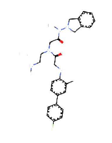 Cc1cc(-c2ccc(F)cc2)ccc1NCC(=O)N(CCNC(C)C)CC(=O)N(C)N1Cc2ccccc2C1.Cl.Cl